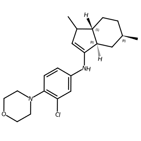 CC1C=C(Nc2ccc(N3CCOCC3)c(Cl)c2)[C@@H]2C[C@H](C)CC[C@@H]12